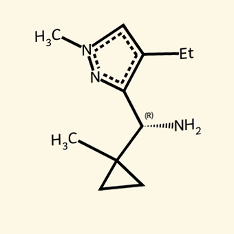 CCc1cn(C)nc1[C@H](N)C1(C)CC1